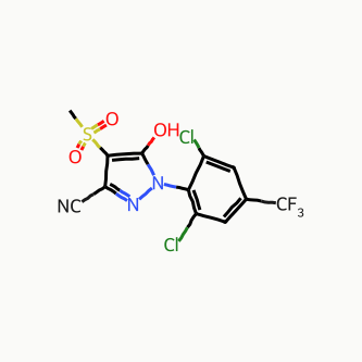 CS(=O)(=O)c1c(C#N)nn(-c2c(Cl)cc(C(F)(F)F)cc2Cl)c1O